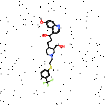 COc1ccc2nccc([C@H](O)CC[C@@H]3CCN(CCSc4cccc(C(F)(F)F)c4)C[C@@H]3CO)c2c1